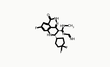 CN/C(=N\C=N)[C@@H]1c2n[nH]c(=O)c3cc(F)cc(c23)N[C@H]1C1CCC(F)(F)CC1